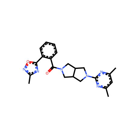 Cc1cc(C)nc(N2CC3CN(C(=O)c4ccccc4-c4nc(C)no4)CC3C2)n1